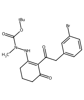 CN(NC1=C(C(=O)Cc2cccc(Br)c2)C(=O)CCC1)C(=O)OC(C)(C)C